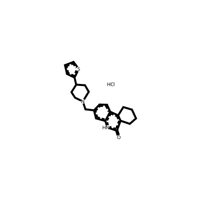 Cl.O=c1[nH]c2cc(CN3CCC(c4cccs4)CC3)ccc2c2c1CCCC2